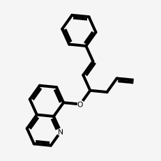 C=CCC(C=Cc1ccccc1)Oc1cccc2cccnc12